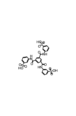 O=C(Nc1cccc(S(=O)(=O)O)c1)c1cc(C(=O)Nc2cccc(S(=O)(=O)O)c2)cc(C(=O)Nc2cccc(S(=O)(=O)O)c2)c1